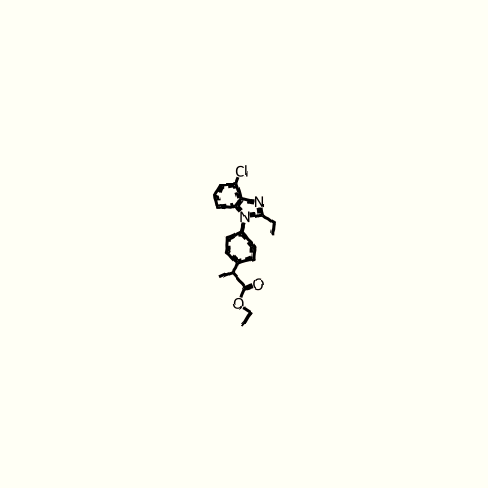 CCOC(=O)C(C)c1ccc(-n2c(CC)nc3c(Cl)cccc32)cc1